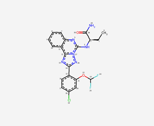 CC[C@@H](Nc1nc2ccccc2c2nc(-c3ccc(Cl)cc3OC(F)F)nn12)C(N)=O